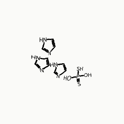 OP(O)(=S)S.c1c[nH]cn1.c1c[nH]cn1.c1c[nH]cn1